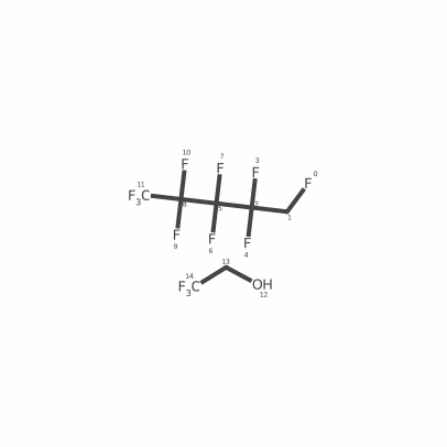 FCC(F)(F)C(F)(F)C(F)(F)C(F)(F)F.OCC(F)(F)F